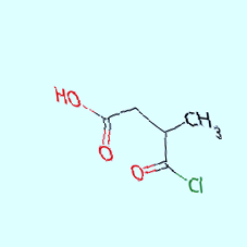 CC(CC(=O)O)C(=O)Cl